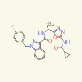 CC(C)(C)[C@H](NC(=O)c1nn(Cc2ccc(F)cc2)c2ccccc12)c1nnc(NC(=O)C2CC2)o1